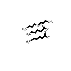 CCCCCC(=O)[O-].CCCCCC(=O)[O-].CCCC[Te+2]CCCC